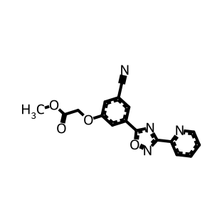 COC(=O)COc1cc(C#N)cc(-c2nc(-c3ccccn3)no2)c1